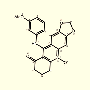 COc1cccc(Nc2c3c([n+]([O-])c4cc5c(cc24)OCO5)CCCC3=O)c1